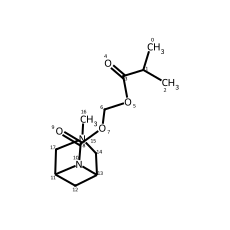 CC(C)C(=O)OCOC(=O)N1C2CC1CN(C)C2